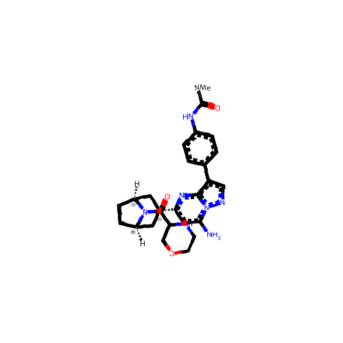 CNC(=O)Nc1ccc(-c2cnn3c(N)cc([C@@H]4C[C@H]5CC[C@@H](C4)N5C(=O)C4COCCN4)nc23)cc1